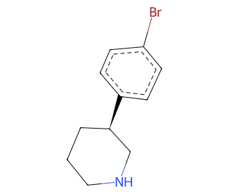 Brc1ccc([C@@H]2CCCNC2)cc1